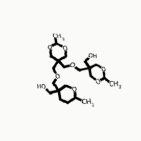 CC1CCC(CO)(COCC2(COCC3(CO)COC(C)OC3)COC(C)OC2)CO1